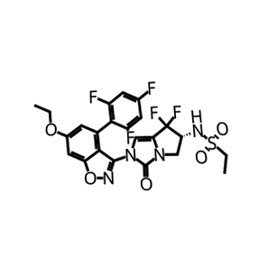 CCOc1cc(-c2c(F)cc(F)cc2F)c2c(-n3cc4n(c3=O)C[C@@H](NS(=O)(=O)CC)C4(F)F)noc2c1